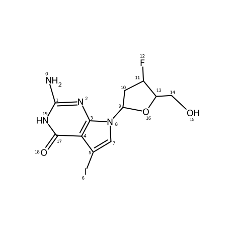 Nc1nc2c(c(I)cn2C2CC(F)C(CO)O2)c(=O)[nH]1